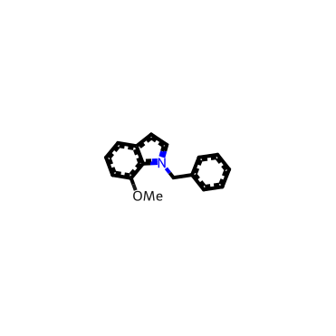 COc1cccc2ccn(Cc3ccccc3)c12